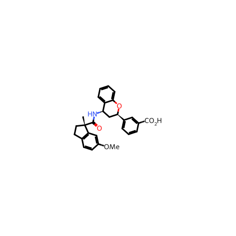 COc1ccc2c(c1)[C@@](C)(C(=O)N[C@@H]1C[C@H](c3cccc(C(=O)O)c3)Oc3ccccc31)CC2